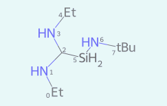 CCNC(NCC)[SiH2]NC(C)(C)C